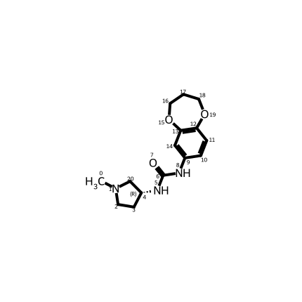 CN1CC[C@@H](NC(=O)Nc2ccc3c(c2)OCCCO3)C1